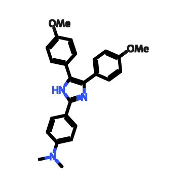 COc1ccc(-c2nc(-c3ccc(N(C)C)cc3)[nH]c2-c2ccc(OC)cc2)cc1